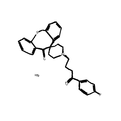 Br.O=C(CCCN1CCC2(CC1)C(=O)c1ccccc1Sc1ccccc12)c1ccc(F)cc1